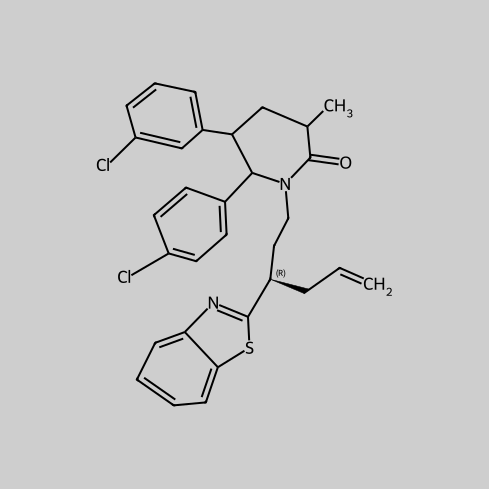 C=CC[C@H](CCN1C(=O)C(C)CC(c2cccc(Cl)c2)C1c1ccc(Cl)cc1)c1nc2ccccc2s1